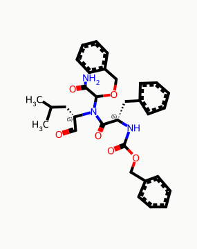 CC(C)C[C@@H](C=O)N(C(=O)[C@H](Cc1ccccc1)NC(=O)OCc1ccccc1)C(OCc1ccccc1)C(N)=O